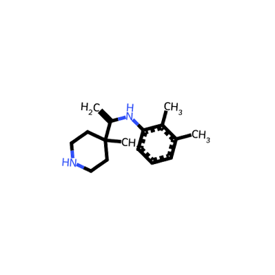 C=C(Nc1cccc(C)c1C)C1(C)CCNCC1